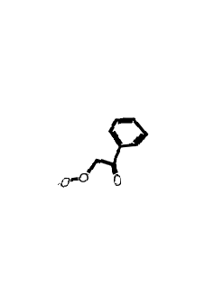 [O]OCC(=O)c1ccccc1